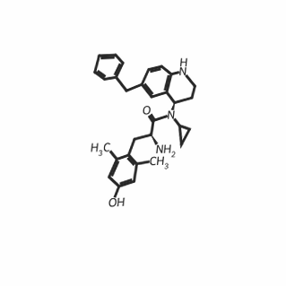 Cc1cc(O)cc(C)c1C[C@H](N)C(=O)N(C1CC1)[C@@H]1CCNc2ccc(Cc3ccccc3)cc21